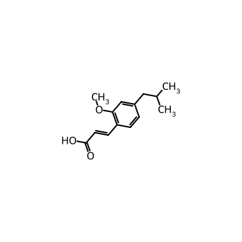 COc1cc(CC(C)C)ccc1/C=C/C(=O)O